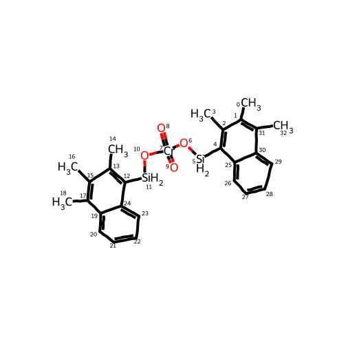 Cc1c(C)c([SiH2][O][Cr](=[O])(=[O])[O][SiH2]c2c(C)c(C)c(C)c3ccccc23)c2ccccc2c1C